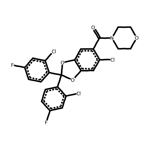 O=C(c1cc2c(cc1Cl)OC(c1ccc(F)cc1Cl)(c1ccc(F)cc1Cl)O2)N1CCOCC1